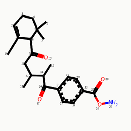 CC1=CCCC(C)(C)C1C(=O)CC(C)C(C)C(=O)c1ccc(C(=O)ON)cc1